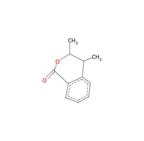 CC1OC(=O)c2ccccc2C1C